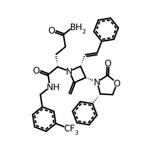 BC(=O)CC[C@@H](C(=O)NCc1cccc(C(F)(F)F)c1)N1C(=C)[C@@H](N2C(=O)OC[C@@H]2c2ccccc2)[C@H]1/C=C/c1ccccc1